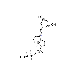 C[C@@H](CCC(F)(F)C(C)(C)O)C1CCC2/C(=C/C=C3C[C@@H](O)C[C@H](O)C3)CCC[C@@]21C